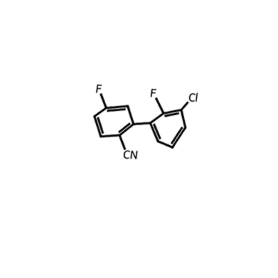 N#Cc1ccc(F)cc1-c1cccc(Cl)c1F